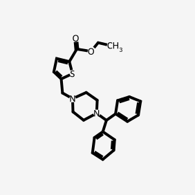 CCOC(=O)c1ccc(CN2CCN(C(c3ccccc3)c3ccccc3)CC2)s1